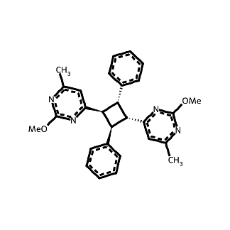 COc1nc(C)cc([C@H]2[C@H](c3ccccc3)[C@H](c3cc(C)nc(OC)n3)[C@H]2c2ccccc2)n1